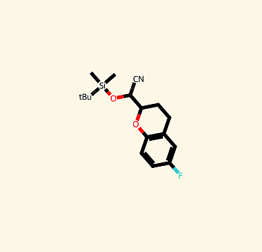 CC(C)(C)[Si](C)(C)OC(C#N)C1CCc2cc(F)ccc2O1